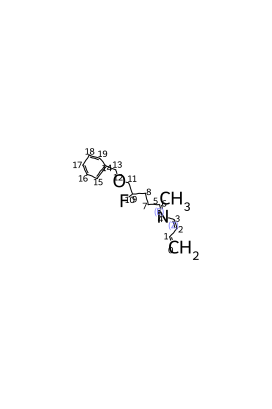 C=C/C=C\N=C(/C)CCC(F)COCc1ccccc1